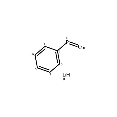 O=Pc1ccccc1.[LiH]